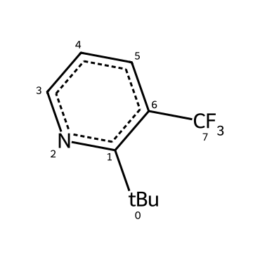 CC(C)(C)c1ncccc1C(F)(F)F